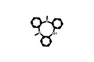 CN1c2ccccc2Nc2ccccc2N(C)c2ccccc21